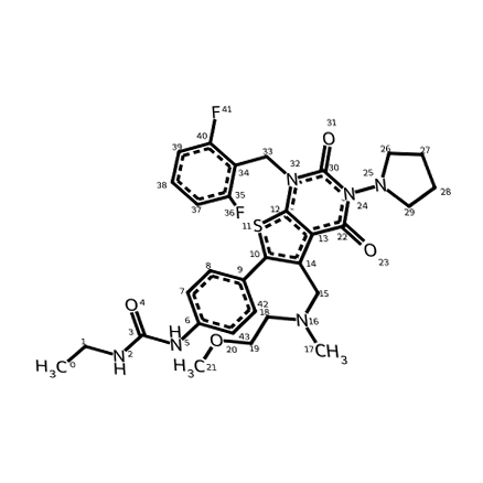 CCNC(=O)Nc1ccc(-c2sc3c(c2CN(C)CCOC)c(=O)n(N2CCCC2)c(=O)n3Cc2c(F)cccc2F)cc1